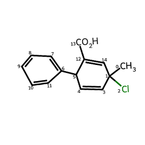 CC1(Cl)C=CC(c2ccccc2)C(C(=O)O)=C1